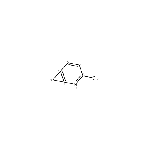 Clc1ccc2c(n1)[CH]2